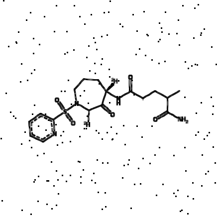 [2H]C1C(=O)[C@@]([2H])(NC(=O)[CH]CC(C)C(N)=O)CCCN1S(=O)(=O)c1ccccn1